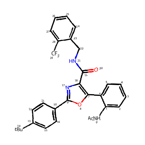 CC(=O)Nc1ccccc1-c1oc(-c2ccc(C(C)(C)C)cc2)nc1C(=O)NCc1ccccc1C(F)(F)F